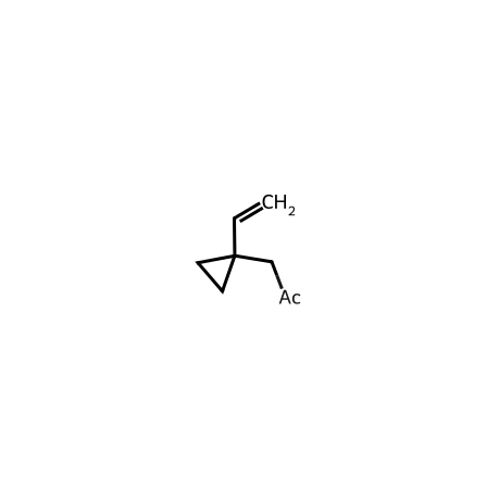 C=CC1(CC(C)=O)CC1